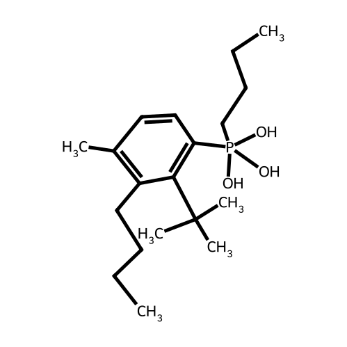 CCCCc1c(C)ccc(P(O)(O)(O)CCCC)c1C(C)(C)C